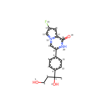 CC(O)(CCO)c1ccc(-c2cn3cc(F)cc3c(=O)[nH]2)cc1